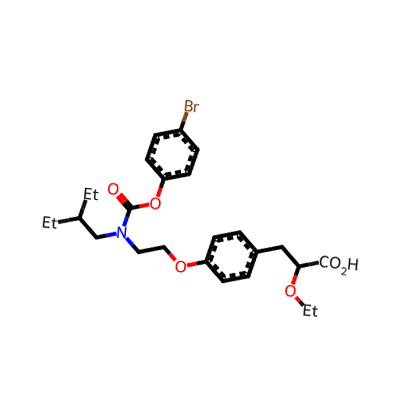 CCOC(Cc1ccc(OCCN(CC(CC)CC)C(=O)Oc2ccc(Br)cc2)cc1)C(=O)O